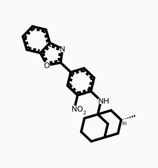 C[C@@H]1CC2CCCC(Nc3ccc(-c4nc5ccccc5o4)cc3[N+](=O)[O-])(C2)C1